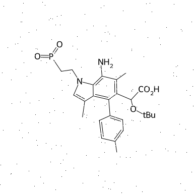 Cc1ccc(-c2c(C(OC(C)(C)C)C(=O)O)c(C)c(N)c3c2c(C)cn3CCP(=O)=O)cc1